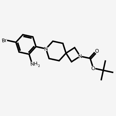 CC(C)(C)OC(=O)N1CC2(CCN(c3ccc(Br)cc3N)CC2)C1